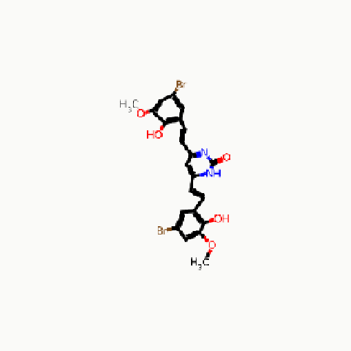 COc1cc(Br)cc(/C=C/c2cc(/C=C/c3cc(Br)cc(OC)c3O)[nH]c(=O)n2)c1O